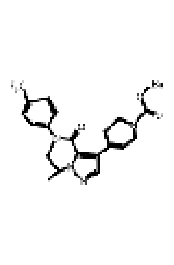 CC1CN(c2ccc(C(F)(F)F)cc2)C(=O)c2c(C3=CCN(C(=O)OC(C)(C)C)CC3)cnn21